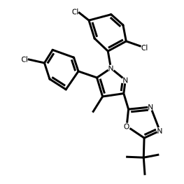 Cc1c(-c2nnc(C(C)(C)C)o2)nn(-c2cc(Cl)ccc2Cl)c1-c1ccc(Cl)cc1